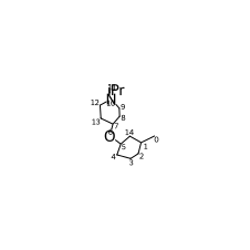 CC1CCCC(OC2CCN(C(C)C)CC2)C1